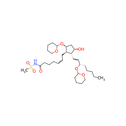 CCCCC[C@@H](/C=C/[C@@H]1[C@@H](C/C=C\CCCC(=O)NS(C)(=O)=O)[C@@H](OC2CCCCO2)C[C@H]1O)OC1CCCCO1